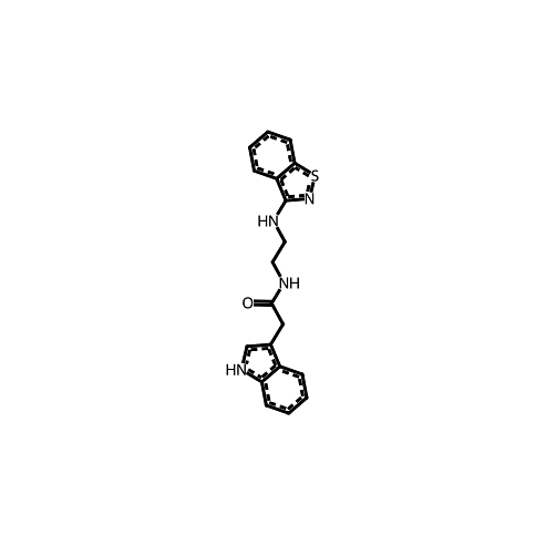 O=C(Cc1c[nH]c2ccccc12)NCCNc1nsc2ccccc12